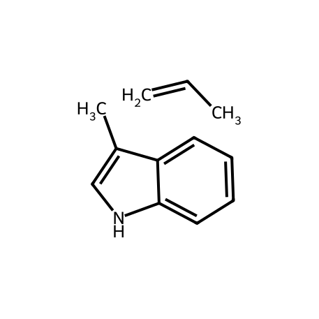 C=CC.Cc1c[nH]c2ccccc12